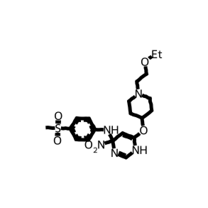 CCOCCN1CCC(OC2=CC(Nc3ccc(S(C)(=O)=O)cc3)([N+](=O)[O-])N=CN2)CC1